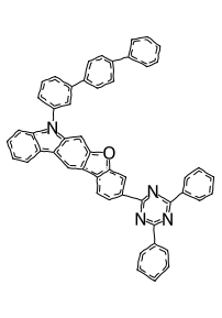 c1ccc(-c2ccc(-c3cccc(-n4c5ccccc5c5cc6c(cc54)oc4cc(-c5nc(-c7ccccc7)nc(-c7ccccc7)n5)ccc46)c3)cc2)cc1